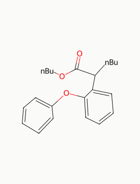 CCCCOC(=O)C(CCCC)c1ccccc1Oc1ccccc1